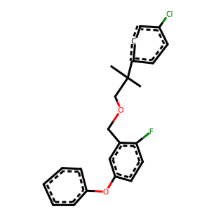 CC(C)(COCc1cc(Oc2ccccc2)ccc1F)c1ccc(Cl)cc1